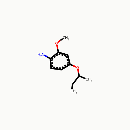 CCC(C)Oc1ccc(N)c(OC)c1